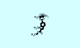 CCOC(=O)c1cc2ccc(B3OC(C)(C)C(C)(C)O3)cc2n1C